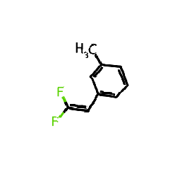 Cc1cccc(C=C(F)F)c1